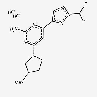 CNC1CCN(c2cc(-c3ccn(C(F)F)n3)nc(N)n2)C1.Cl.Cl